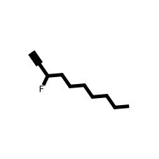 C#CC(F)CCCCCCC